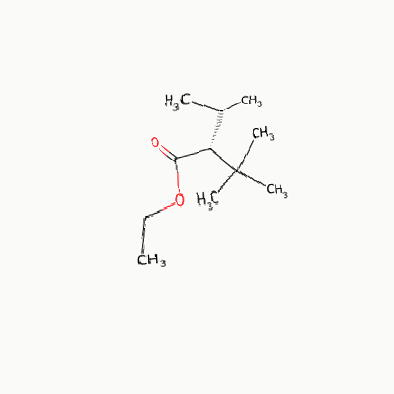 CCOC(=O)[C@H](C(C)C)C(C)(C)C